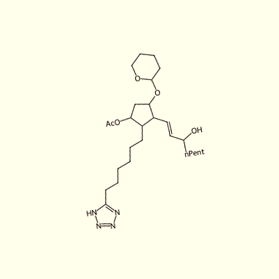 CCCCCC(O)C=CC1C(OC2CCCCO2)CC(OC(C)=O)C1CCCCCCc1nnn[nH]1